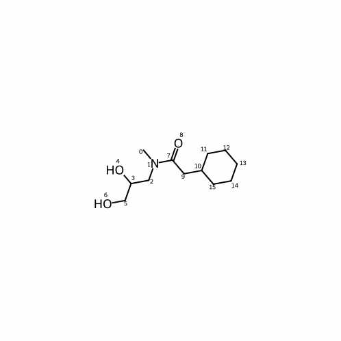 CN(CC(O)CO)C(=O)CC1CCCCC1